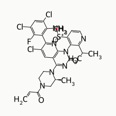 C=CC(=O)N1CCN(c2nc(=O)n(-c3c([S+](C)[O-])ccnc3C(C)C)c3nc(-c4c(N)c(Cl)cc(Cl)c4F)c(Cl)cc23)[C@@H](C)C1